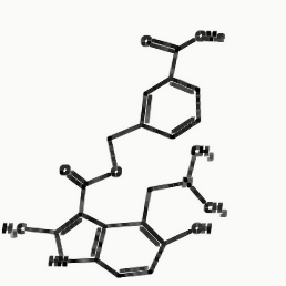 COC(=O)c1cccc(COC(=O)c2c(C)[nH]c3ccc(O)c(CN(C)C)c23)c1